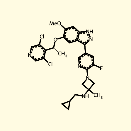 COc1cc2[nH]nc(-c3cnc(N4CC(C)(NCC5CC5)C4)c(F)c3)c2cc1O[C@H](C)c1c(Cl)cncc1Cl